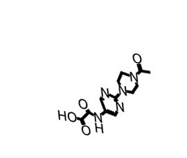 CC(=O)N1CCN(c2ncc(NC(=O)C(=O)O)cn2)CC1